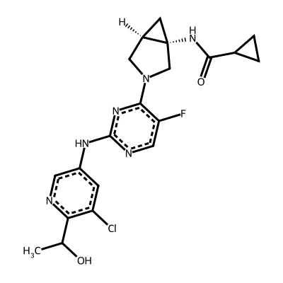 CC(O)c1ncc(Nc2ncc(F)c(N3C[C@H]4C[C@@]4(NC(=O)C4CC4)C3)n2)cc1Cl